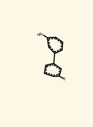 CCCc1cccc(-c2cccc(F)c2)c1